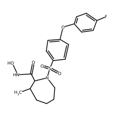 CC1CCCCN(S(=O)(=O)c2ccc(Oc3ccc(F)cc3)cc2)C1C(=O)NO